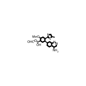 COc1cc(-c2ncc(C)s2)c(-c2ccc3c(N)cnnc3c2)cc1B(O)OC=O